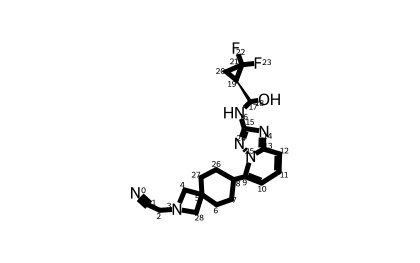 N#CCN1CC2(CCC(c3cccc4nc(NC(O)[C@H]5CC5(F)F)nn34)CC2)C1